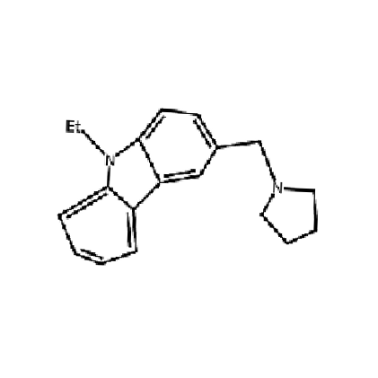 CCn1c2ccccc2c2cc(CN3CCCC3)ccc21